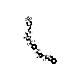 Cn1cc(NC(=O)c2cc3ccccc3cn2)cc1C(=O)Nc1ccc(C(=O)Nc2cn(C)c(C(=O)NCCN3CCN(S(C)(=O)=O)CC3)n2)cc1